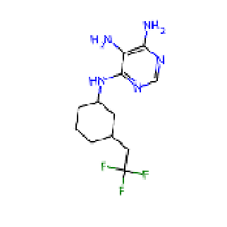 Nc1ncnc(NC2CCCC(CC(F)(F)F)C2)c1N